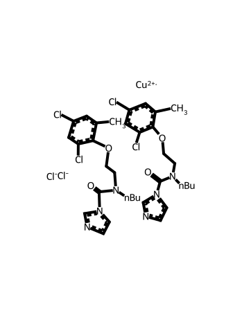 CCCCN(CCOc1c(C)cc(Cl)cc1Cl)C(=O)n1ccnc1.CCCCN(CCOc1c(C)cc(Cl)cc1Cl)C(=O)n1ccnc1.[Cl-].[Cl-].[Cu+2]